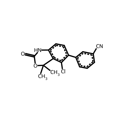 CC1(C)OC(=O)Nc2ccc(-c3cccc(C#N)c3)c(Cl)c21